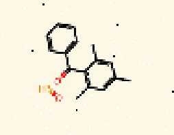 Cc1cc(C)c(C(=O)c2ccccc2)c(C)c1.O=P